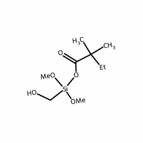 CCC(C)(C)C(=O)O[Si](CO)(OC)OC